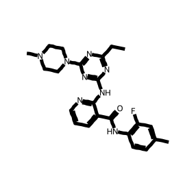 CCc1nc(Nc2ncccc2C(=O)Nc2ccc(C)cc2F)nc(N2CCN(C)CC2)n1